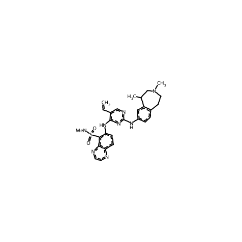 C=Cc1cnc(Nc2ccc3c(c2)C(C)CN(C)CC3)nc1Nc1ccc2nccnc2c1S(=O)(=O)NC